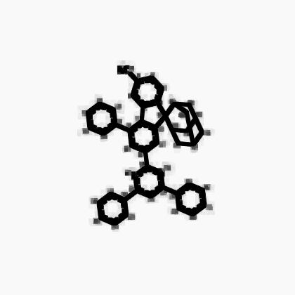 N#Cc1ccc2c(c1)-c1c(-c3ccccc3)cc(-c3nc(-c4ccccc4)cc(-c4ccccc4)n3)cc1C21C2CC3CC(C2)CC1C3